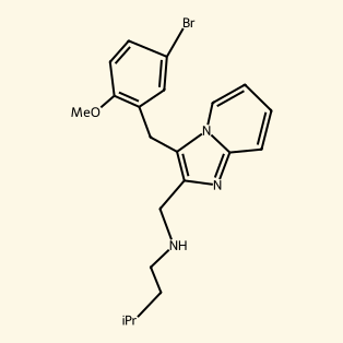 COc1ccc(Br)cc1Cc1c(CNCCC(C)C)nc2ccccn12